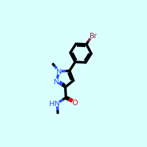 CNC(=O)c1cc(-c2ccc(Br)cc2)n(C)n1